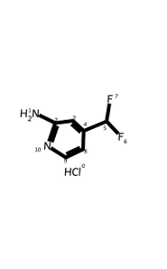 Cl.Nc1cc(C(F)F)ccn1